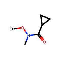 CCON(C)C(=O)C1CC1